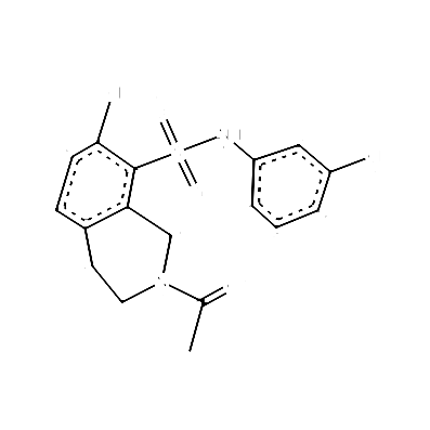 CC(=O)N1CCc2ccc(Cl)c(S(=O)(=O)Nc3cccc(Cl)c3)c2C1